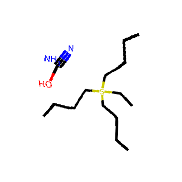 CCCCS(CC)(CCCC)CCCC.N.N#CO